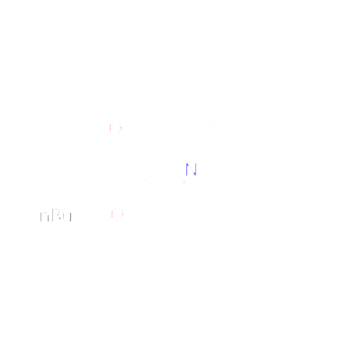 CCCCOC(=O)N1C2C[CH]CC1CC2